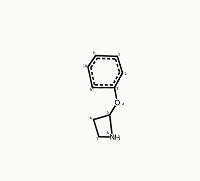 c1ccc(OC2CCN2)cc1